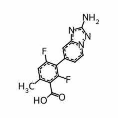 Cc1cc(F)c(-c2ccn3nc(N)nc3c2)c(F)c1C(=O)O